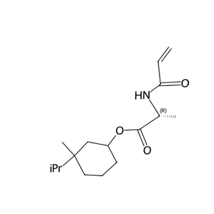 C=CC(=O)N[C@H](C)C(=O)OC1CCCC(C)(C(C)C)C1